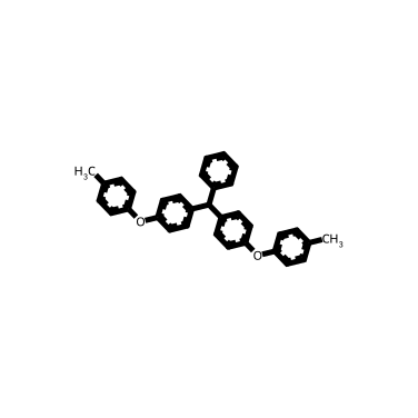 Cc1ccc(Oc2ccc(C(c3ccccc3)c3ccc(Oc4ccc(C)cc4)cc3)cc2)cc1